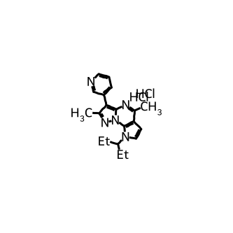 CCC(CC)n1ccc2c(C)nc3c(-c4cccnc4)c(C)nn3c21.Cl.Cl